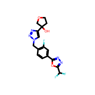 OC1(c2cn(Cc3ccc(-c4nnc(C(F)F)o4)cc3F)nn2)CCOC1